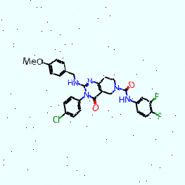 COc1ccc(CNc2nc3c(c(=O)n2-c2ccc(Cl)cc2)CN(C(=O)Nc2ccc(F)c(F)c2)CC3)cc1